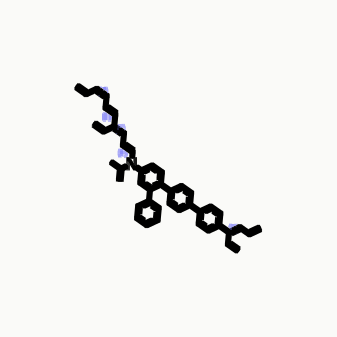 C=C\C=C/C=C/C(C=C)=C/C=C/N(C(=C)C)c1ccc(-c2ccc(-c3ccc(/C(C=C)=C/C=C)cc3)cc2)c(-c2ccccc2)c1